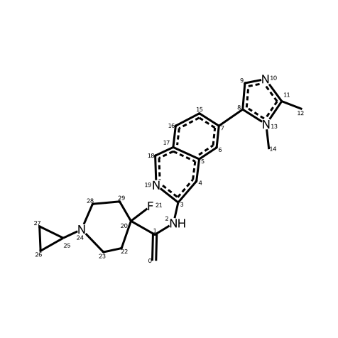 C=C(Nc1cc2cc(-c3cnc(C)n3C)ccc2cn1)C1(F)CCN(C2CC2)CC1